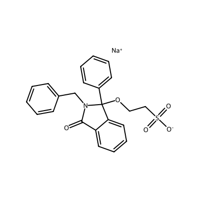 O=C1c2ccccc2C(OCCS(=O)(=O)[O-])(c2ccccc2)N1Cc1ccccc1.[Na+]